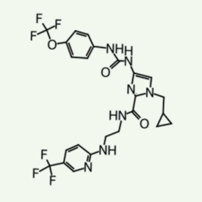 O=C(Nc1ccc(OC(F)(F)F)cc1)Nc1cn(CC2CC2)c(C(=O)NCCNc2ccc(C(F)(F)F)cn2)n1